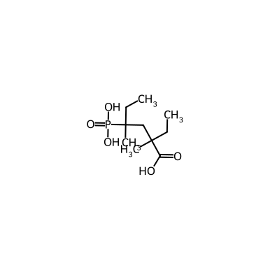 CCC(C)(CC(C)(CC)P(=O)(O)O)C(=O)O